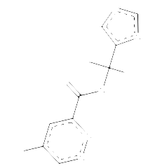 [2H]C([2H])(NC(=O)c1cc(C)cnn1)c1cscn1